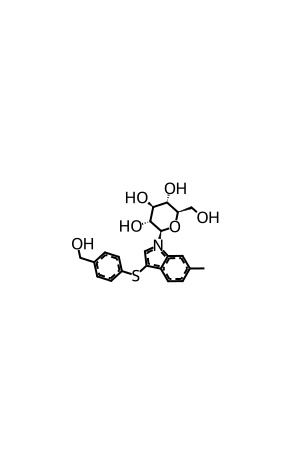 Cc1ccc2c(Sc3ccc(CO)cc3)cn([C@@H]3O[C@H](CO)[C@@H](O)[C@H](O)[C@H]3O)c2c1